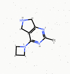 CCc1nc2c(c(N3CCC3)n1)CNC2